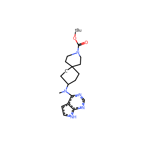 CN(c1ncnc2[nH]ccc12)C1CCC2(CC1)CCN(C(=O)OC(C)(C)C)CC2